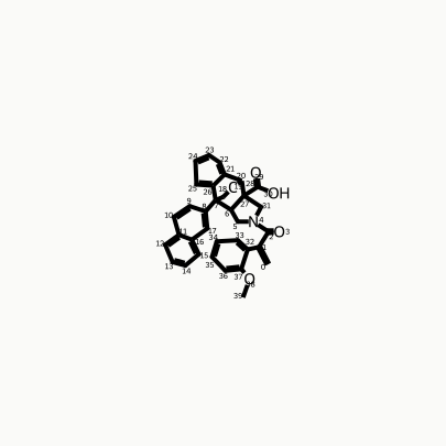 C=C(C(=O)N1CC2C3(c4ccc5ccccc5c4)CCC(c4ccccc43)C2(C(=O)O)C1)c1ccccc1OC